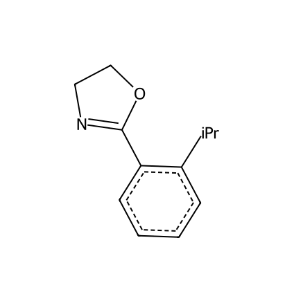 CC(C)c1ccccc1C1=NCCO1